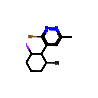 CCC1CCCC(I)C1c1cc(C)nnc1Br